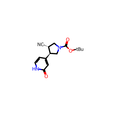 CC(C)(C)OC(=O)N1C[C@@H](C#N)[C@H](c2cc[nH]c(=O)c2)C1